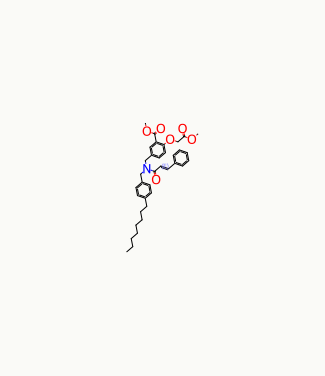 CCCCCCCCc1ccc(CN(Cc2ccc(OCC(=O)OC)c(C(=O)OC)c2)C(=O)/C=C/c2ccccc2)cc1